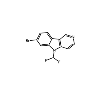 FC(F)n1c2ccncc2c2ccc(Br)cc21